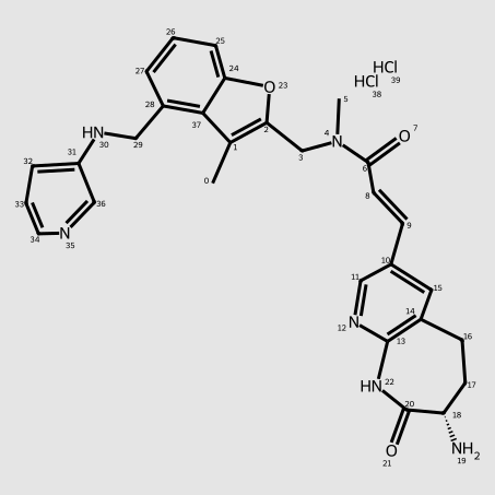 Cc1c(CN(C)C(=O)/C=C/c2cnc3c(c2)CC[C@H](N)C(=O)N3)oc2cccc(CNc3cccnc3)c12.Cl.Cl